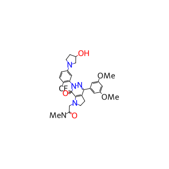 CNC(=O)CN1CCc2c(-c3cc(OC)cc(OC)c3)nn(-c3cc(N4CCC(O)C4)ccc3C(F)(F)F)c(=O)c21